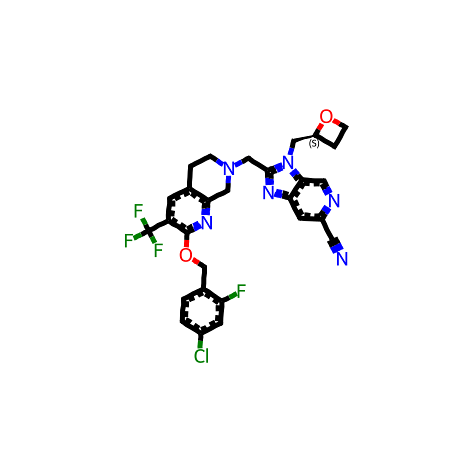 N#Cc1cc2nc(CN3CCc4cc(C(F)(F)F)c(OCc5ccc(Cl)cc5F)nc4C3)n(C[C@@H]3CCO3)c2cn1